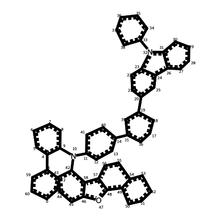 c1ccc(-c2ccccc2N(c2ccc(-c3cccc(-c4ccc5c(c4)c4ccccc4n5-c4ccccc4)c3)cc2)c2cccc3oc4c5ccccc5ccc4c23)cc1